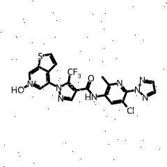 Cc1nc(-n2nccn2)c(Cl)cc1NC(=O)c1cnn(-c2c[n+](O)cc3sccc23)c1C(F)(F)F